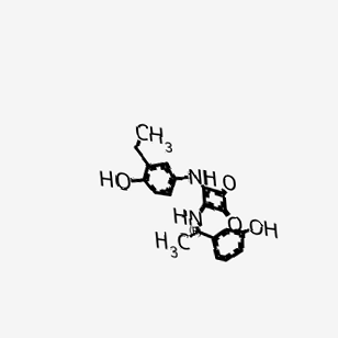 CCc1cc(Nc2c(N[C@H](C)c3cccc(O)c3)c(=O)c2=O)ccc1O